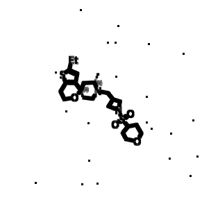 CCc1cc2c(s1)CCO[C@@]21CCN(CC2CN(S(=O)(=O)C3CCOCC3)C2)[C@@H](C)C1